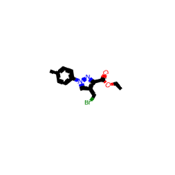 CCOC(=O)c1nn(-c2ccc(C)cc2)cc1CBr